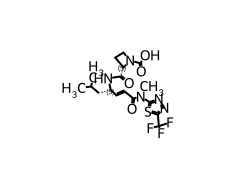 CC(C)C[C@@H](C=CC(=O)N(C)c1nnc(C(F)(F)F)s1)NC(=O)[C@@H]1CCN1C(=O)O